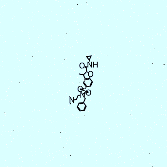 CC1c2cc(S(=O)(=O)N(CCN(C)C)Cc3ccccc3)ccc2OC1C(=O)NC1CC1